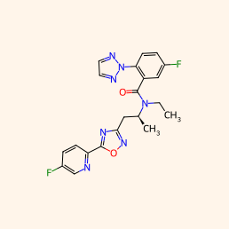 CCN(C(=O)c1cc(F)ccc1-n1nccn1)[C@@H](C)Cc1noc(-c2ccc(F)cn2)n1